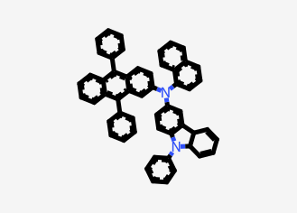 C1=CC2c3cc(N(c4ccc5c(-c6ccccc6)c6ccccc6c(-c6ccccc6)c5c4)c4cccc5ccccc45)ccc3N(c3ccccc3)C2C=C1